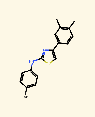 CC(=O)c1ccc(Nc2nc(-c3ccc(C)c(C)c3)cs2)cc1